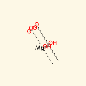 CCCCCCCCCCC(O)CCCCCCCCCCC(=O)[O-].CCCCCCCCCCC(O)CCCCCCCCCCC(=O)[O-].[Mg+2]